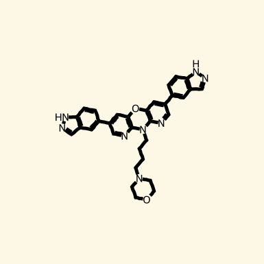 c1cc2[nH]ncc2cc1-c1cnc2c(c1)Oc1cc(-c3ccc4[nH]ncc4c3)cnc1N2CCCCN1CCOCC1